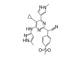 Cc1cc(Nc2nc(C(C#N)c3ccc(S(C)(=O)=O)cc3)nc(-c3cnn(C)c3)c2C2CC2)n[nH]1